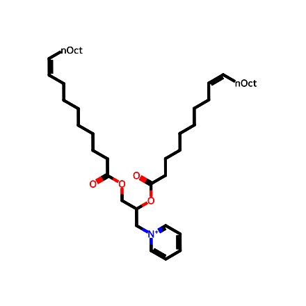 CCCCCCCC/C=C\CCCCCCCC(=O)OCC(C[n+]1ccccc1)OC(=O)CCCCCCC/C=C\CCCCCCCC